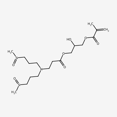 C=C(C)C(=O)OCC(O)COC(=O)CCN(CCC[Si](C)=O)CCC[Si](C)=O